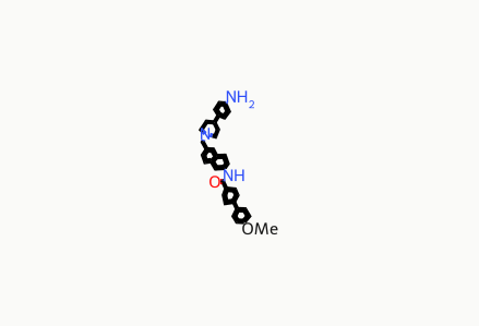 COc1ccc(-c2ccc(C(=O)Nc3ccc4cc(CN5CCC(c6ccc(N)cc6)CC5)ccc4c3)cc2)cc1